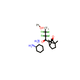 CC12CCC(C(C(=O)C(F)(F)C(F)(F)C(F)(F)F)C1=O)C2(C)C.N[C@@H]1CCCC[C@H]1N.[OH][Pt]